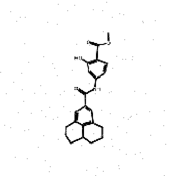 COC(=O)c1ccc(NC(=O)c2cc3c4c(c2)CCCC4CCC3)cc1O